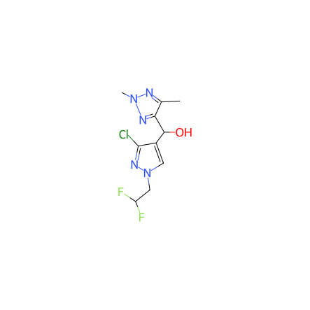 Cc1nn(C)nc1C(O)c1cn(CC(F)F)nc1Cl